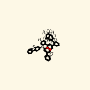 CC1(C)CC(C)(C)c2cc3c(cc21)oc1cccc(-c2cccc(-c4ccccc4N(c4ccc5c(c4)sc4ccccc45)c4ccc5oc6ccccc6c5c4)c2)c13